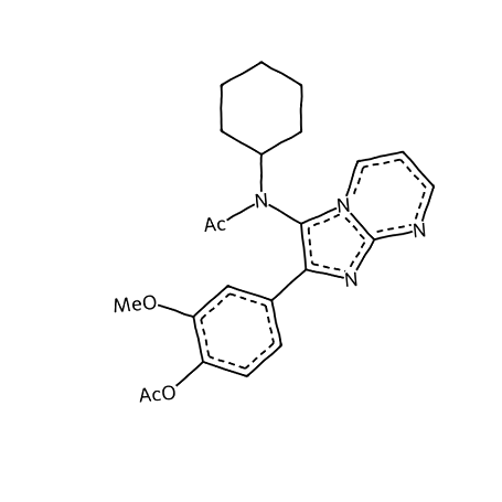 COc1cc(-c2nc3ncccn3c2N(C(C)=O)C2CCCCC2)ccc1OC(C)=O